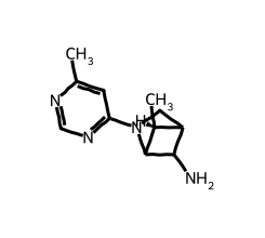 Cc1cc(N2CC3C(N)C2[C@@H]3C)ncn1